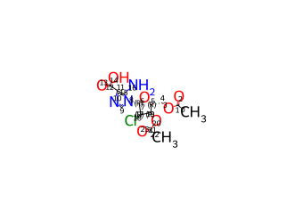 CC(=O)OC[C@H]1O[C@@H](n2cnc(C(=O)O)c2N)[C@H](Cl)[C@@H]1OC(C)=O